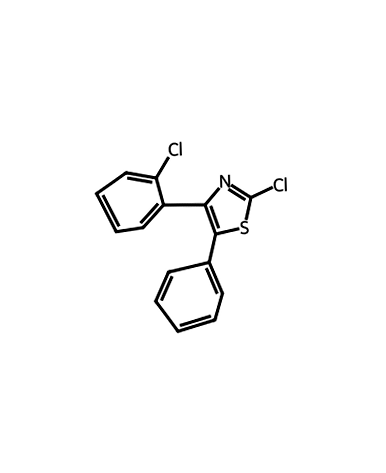 Clc1nc(-c2ccccc2Cl)c(-c2ccccc2)s1